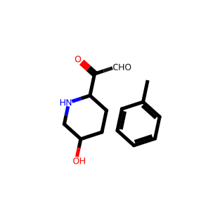 Cc1ccccc1.O=CC(=O)C1CCC(O)CN1